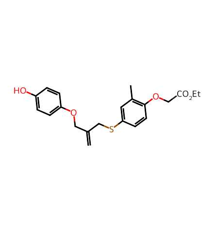 C=C(COc1ccc(O)cc1)CSc1ccc(OCC(=O)OCC)c(C)c1